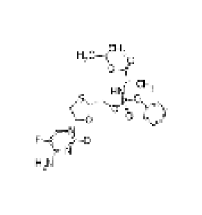 CC(C)OC(=O)[C@H](C)NP(=O)(OC[C@@H]1O[C@H](n2cc(F)c(N)nc2=O)CS1)Oc1ccccc1